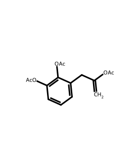 C=C(Cc1cccc(OC(C)=O)c1OC(C)=O)OC(C)=O